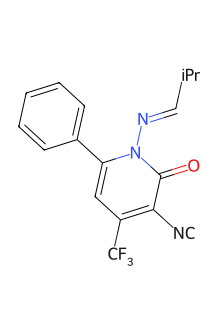 [C-]#[N+]c1c(C(F)(F)F)cc(-c2ccccc2)n(/N=C/C(C)C)c1=O